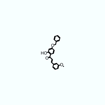 COc1cccc(C=CC(=O)c2ccc(OCc3ccccc3)cc2O)c1